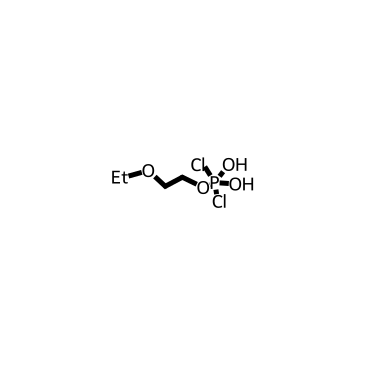 CCOCCOP(O)(O)(Cl)Cl